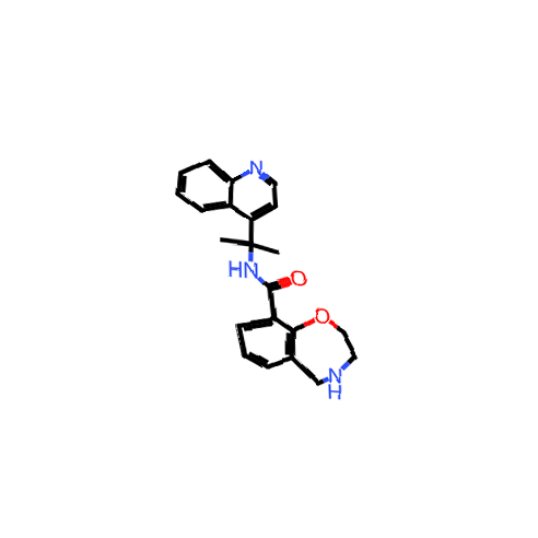 CC(C)(NC(=O)c1cccc2c1OCCNC2)c1ccnc2ccccc12